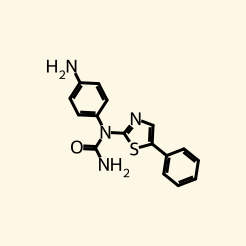 NC(=O)N(c1ccc(N)cc1)c1ncc(-c2ccccc2)s1